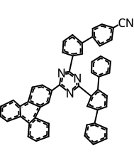 N#Cc1ccc(-c2cccc(-c3nc(-c4ccc5c6ccccc6c6ccccc6c5c4)nc(-c4cc(-c5ccccc5)ccc4-c4ccccc4)n3)c2)cc1